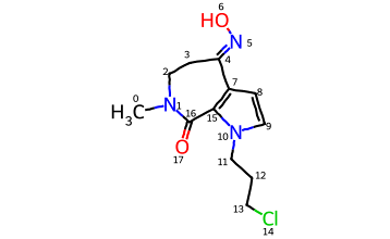 CN1CCC(=NO)c2ccn(CCCCl)c2C1=O